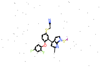 Cc1cc(-c2cc(SCC#N)ccc2Oc2ccc(F)cc2F)c2ccn(SI)c2n1